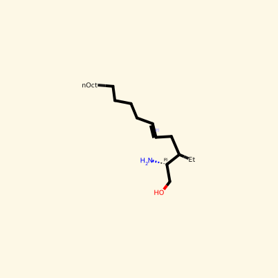 CCCCCCCCCCCC/C=C/CC(CC)[C@@H](N)CO